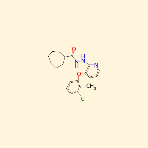 Cc1c(Cl)cccc1Oc1cccnc1NNC(=O)C1CCCCCC1